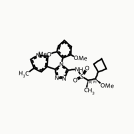 COc1cccc(OC)c1-n1c(NS(=O)(=O)[C@H](C)[C@H](OC)C2CCC2)nnc1-c1cncc(C)c1